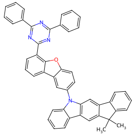 CC1(C)c2ccccc2-c2cc3c(cc21)c1ccccc1n3-c1ccc2oc3c(-c4nc(-c5ccccc5)nc(-c5ccccc5)n4)cccc3c2c1